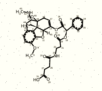 CC[C@]12c3c4ccc(OC)c3O[C@H]1C(OC(=O)[C@H](OC(=O)CCNC(=O)CCC(=O)O)c1ccccc1)=CC[C@@]2(O)[C@H](NC)C4